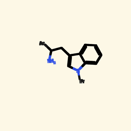 CC(=O)C(N)Cc1cn(C(C)C)c2ccccc12